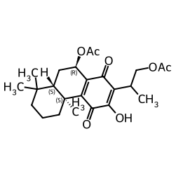 CC(=O)OCC(C)C1=C(O)C(=O)C2=C(C1=O)[C@H](OC(C)=O)C[C@H]1C(C)(C)CCC[C@]21C